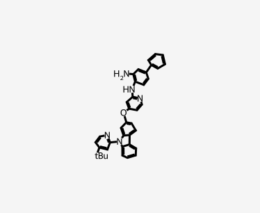 CC(C)(C)c1ccnc(-n2c3ccccc3c3ccc(Oc4ccnc(Nc5ccc(-c6ccccc6)cc5N)c4)cc32)c1